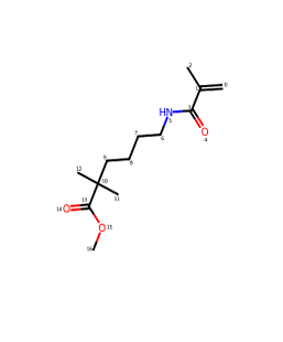 C=C(C)C(=O)NCCCCC(C)(C)C(=O)OC